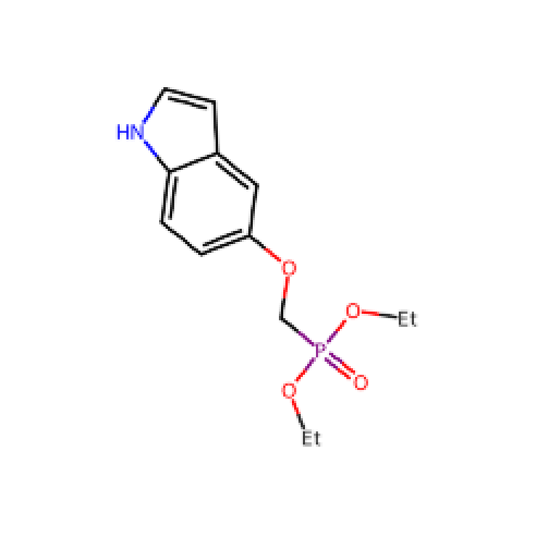 CCOP(=O)(COc1ccc2[nH]ccc2c1)OCC